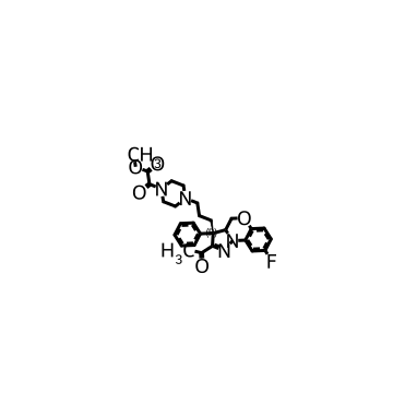 COC(=O)C(=O)N1CCN(CCC[C@]2(c3ccccc3)C(C(C)=O)=NN3c4cc(F)ccc4OCC32)CC1